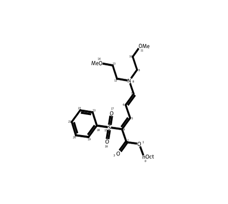 CCCCCCCCOC(=O)/C(=C/C=C/N(CCOC)CCOC)S(=O)(=O)c1ccccc1